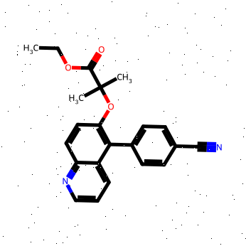 CCOC(=O)C(C)(C)Oc1ccc2ncccc2c1-c1ccc(C#N)cc1